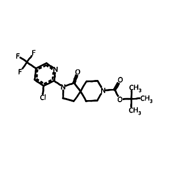 CC(C)(C)OC(=O)N1CCC2(CC1)CCN(c1ncc(C(F)(F)F)cc1Cl)C2=O